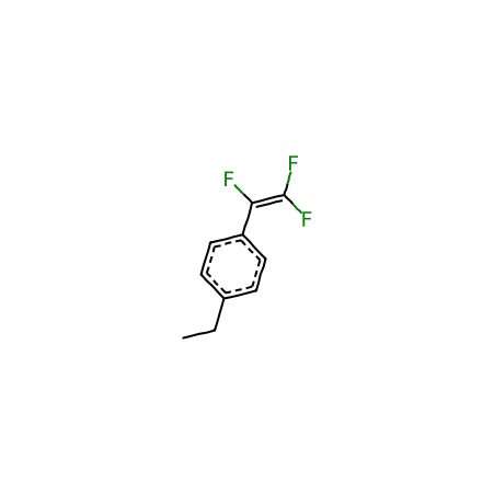 CCc1ccc(C(F)=C(F)F)cc1